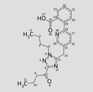 CCCCn1nc(C(=O)CCC)nc1Cc1ccc(-c2ccccc2C(=O)O)nc1